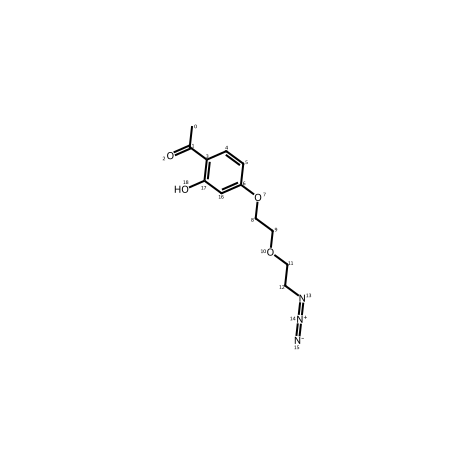 CC(=O)c1ccc(OCCOCCN=[N+]=[N-])cc1O